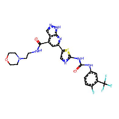 O=C(Nc1ccc(F)c(C(F)(F)F)c1)Nc1ncc(-c2cc(C(=O)NCCN3CCOCC3)c3cn[nH]c3n2)s1